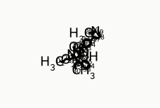 CCOCc1nc(=O)c(S(=O)(=O)c2ccc(-c3cccnc3C)cc2)c(O)n1C(CC)c1ccccc1